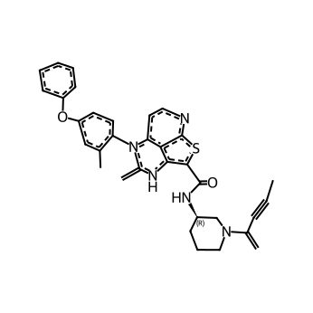 C=C(C#CC)N1CCC[C@@H](NC(=O)c2sc3nccc4c3c2[nH]c(=C)n4-c2ccc(Oc3ccccc3)cc2C)C1